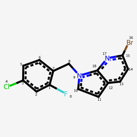 Fc1cc(Cl)ccc1Cn1ccc2ccc(Br)nc21